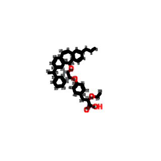 CCCc1ccc2c(c1)C=Cc1ccc(C(C)c3ccccc3)cc1C2OCCOc1ccc(CC(OCC)C(=O)O)cc1